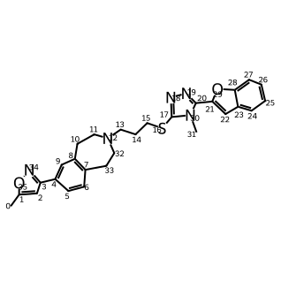 Cc1cc(-c2ccc3c(c2)CCN(CCCSc2nnc(-c4cc5ccccc5o4)n2C)CC3)no1